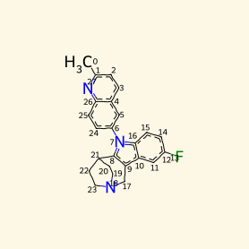 Cc1ccc2cc(-n3c4c(c5cc(F)ccc53)CN3CCC4CC3)ccc2n1